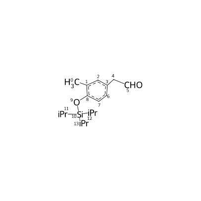 Cc1cc(CC=O)ccc1O[Si](C(C)C)(C(C)C)C(C)C